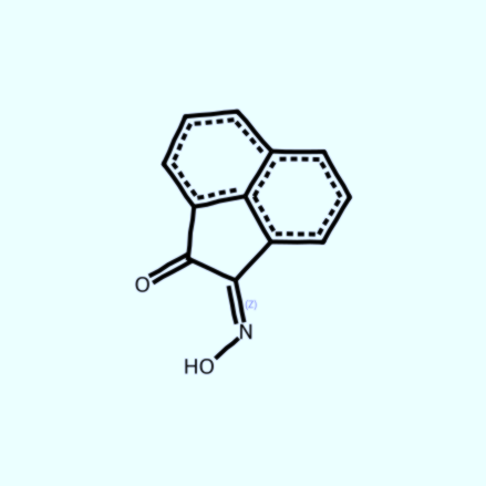 O=C1/C(=N\O)c2cccc3cccc1c23